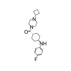 O=C([C@H]1CC[C@H](Nc2ccc(F)cc2)CC1)N1CCN(C2CCC2)CC1